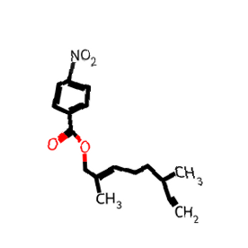 C=CC(C)CCC=C(C)COC(=O)c1ccc([N+](=O)[O-])cc1